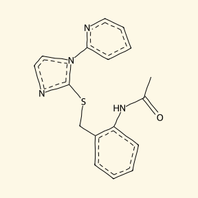 CC(=O)Nc1ccccc1CSc1nccn1-c1ccccn1